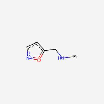 CC(C)NCc1ccno1